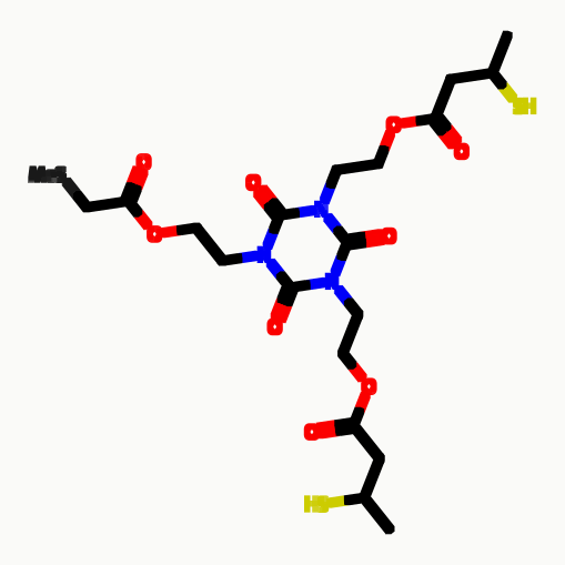 CSCC(=O)OCCn1c(=O)n(CCOC(=O)CC(C)S)c(=O)n(CCOC(=O)CC(C)S)c1=O